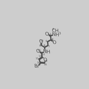 CNC(=O)C(=O)CCC(C=O)NC(=O)c1cc(Br)co1